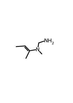 C/C=C(\C)N(C)CN